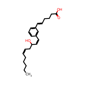 CCCCC/C=C\CC(O)/C=C\c1cccc(/C=C/CCCC(=O)O)c1